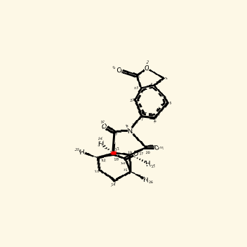 O=C1OCc2ccc(N3C(=O)[C@@H]4[C@H]5CC[C@H](C(=O)C5)[C@@H]4C3=O)cc21